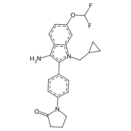 Nc1c(-c2ccc(N3CCCC3=O)cc2)n(CC2CC2)c2cc(OC(F)F)ccc12